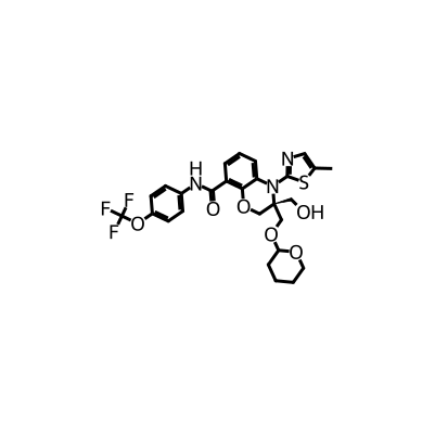 Cc1cnc(N2c3cccc(C(=O)Nc4ccc(OC(F)(F)F)cc4)c3OC[C@@]2(CO)COC2CCCCO2)s1